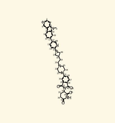 Cn1c2ccncc2c2ccc(-c3ccc(N4CC(CCN5CCN(c6ccc7c(c6)C(=O)N(C6CCC(=O)NC6=O)C7=O)CC5)C4)nc3)cc21